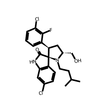 CC(C)CCN1[C@@H](CO)C[C@H](c2cccc(Cl)c2F)[C@]12C(=O)Nc1cc(Cl)ccc12